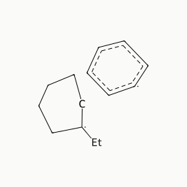 CC[C]1CCCCC1.[c]1ccccc1